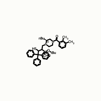 CCCC[C@H]1CN(C(=O)c2cccc(C)c2C)CCN1CC(C(S)C(c1ccccc1)(c1ccccc1)c1ccccc1)N(C=O)OC(C)(C)C